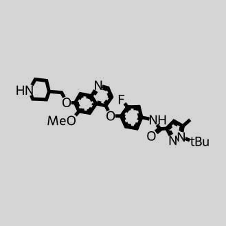 COc1cc2c(Oc3ccc(NC(=O)c4cc(C)n(C(C)(C)C)n4)cc3F)ccnc2cc1OCC1CCNCC1